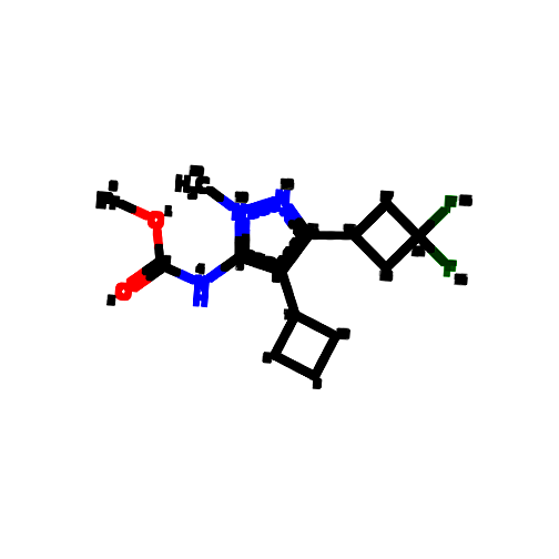 CC(C)OC(=O)Nc1c(C2CCC2)c(C2CC(F)(F)C2)nn1C